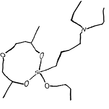 CCO[Si]1(CCCN(CC)CC)OC(C)COCC(C)O1